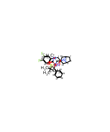 CN(CC(=O)N1C2CCC1CC([C@@H](Cc1cc(F)c(F)cc1F)N[S@@+]([O-])C(C)(C)C)C2)C(=O)OCc1ccccc1